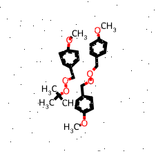 COc1ccc(COOC(C)(C)C)cc1.COc1ccc(COOCc2ccc(OC)cc2)cc1